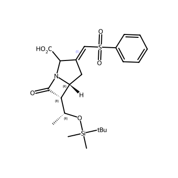 C[C@@H](O[Si](C)(C)C(C)(C)C)[C@@H]1C(=O)N2C(C(=O)O)/C(=C/S(=O)(=O)c3ccccc3)C[C@H]12